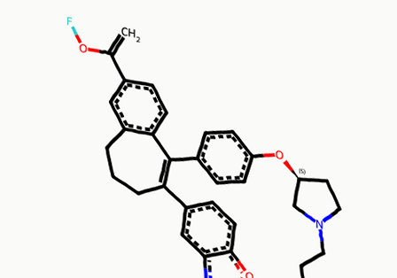 C=C(OF)c1ccc2c(c1)CCCC(c1ccc3ocnc3c1)=C2c1ccc(O[C@H]2CCN(CCCF)C2)cc1